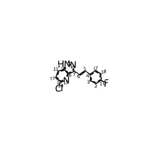 Fc1ccc(/C=C/c2n[nH]c3ccc(Cl)nc23)cc1